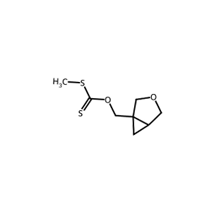 CSC(=S)OCC12COCC1C2